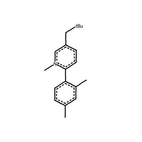 Cc1ccc(-c2ccc(CC(C)(C)C)c[n+]2C)c(C)c1